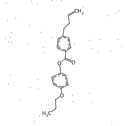 C=CCCc1ccc(C(=O)Oc2ccc(OCCC)cc2)cc1